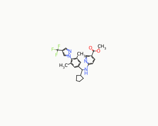 COC(=O)c1ccc(NC(c2cc(C)c(-n3cc(C(F)(F)F)cn3)c(C)c2)C2CCCC2)nc1